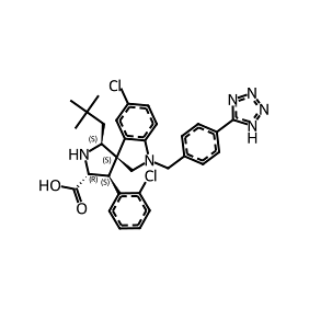 CC(C)(C)C[C@@H]1N[C@@H](C(=O)O)[C@H](c2ccccc2Cl)[C@]12CN(Cc1ccc(-c3nnn[nH]3)cc1)c1ccc(Cl)cc12